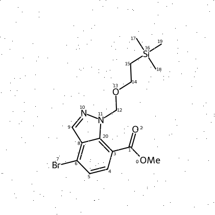 COC(=O)c1ccc(Br)c2cnn(COCC[Si](C)(C)C)c12